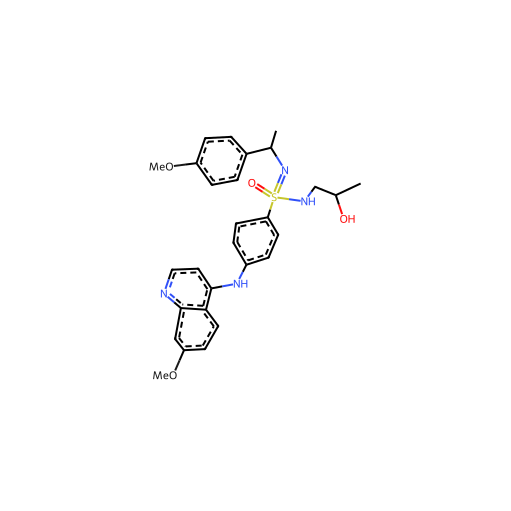 COc1ccc(C(C)N=S(=O)(NCC(C)O)c2ccc(Nc3ccnc4cc(OC)ccc34)cc2)cc1